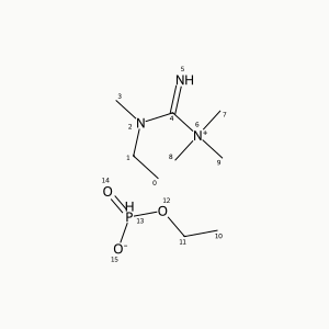 CCN(C)C(=N)[N+](C)(C)C.CCO[PH](=O)[O-]